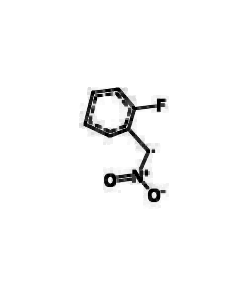 O=[N+]([O-])[CH]c1ccccc1F